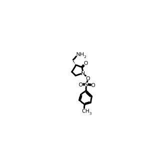 Cc1ccc(S(=O)(=O)ON2CC[C@H](CN)C2=O)cc1